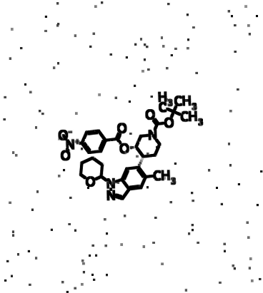 Cc1cc2cnn(C3CCCCO3)c2cc1[C@H]1CCN(C(=O)OC(C)(C)C)C[C@H]1OC(=O)c1ccc([N+](=O)[O-])cc1